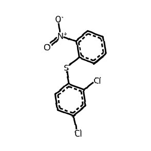 O=[N+]([O-])c1ccccc1Sc1ccc(Cl)cc1Cl